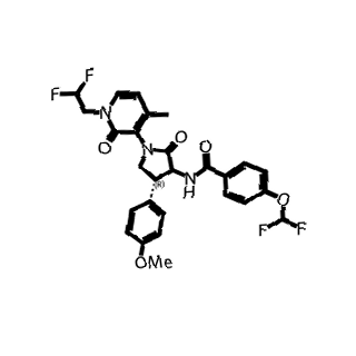 COc1ccc([C@@H]2CN(c3c(C)ccn(CC(F)F)c3=O)C(=O)C2NC(=O)c2ccc(OC(F)F)cc2)cc1